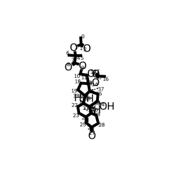 CC(=O)OC(C)(C)C(=O)OCC(=O)[C@]1(OC(C)=O)CC[C@H]2[C@@H]3CCC4=CC(=O)CC[C@]4(C)[C@H]3[C@@H](O)C[C@@]21C